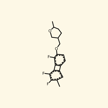 Cc1cc2c(c(F)c1F)-c1c-2ccc(OCC2CCC(C)OC2)c1F